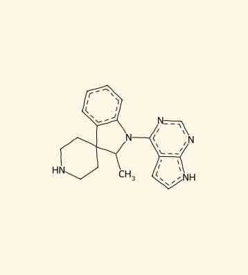 CC1N(c2ncnc3[nH]ccc23)c2ccccc2C12CCNCC2